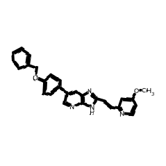 COc1ccnc(CCc2nc3cc(-c4ccc(OCc5ccccc5)cc4)cnc3[nH]2)c1